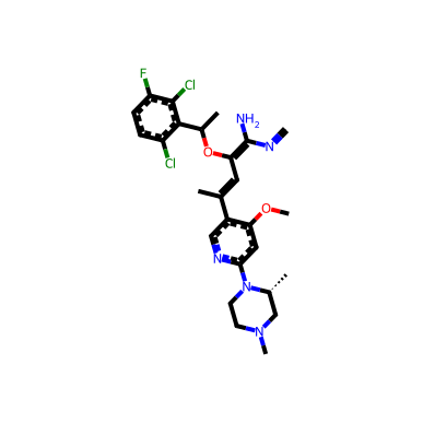 C=N/C(N)=C(\C=C(/C)c1cnc(N2CCN(C)C[C@H]2C)cc1OC)OC(C)c1c(Cl)ccc(F)c1Cl